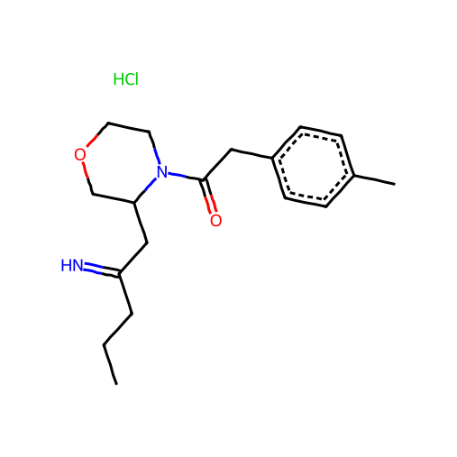 CCCC(=N)CC1COCCN1C(=O)Cc1ccc(C)cc1.Cl